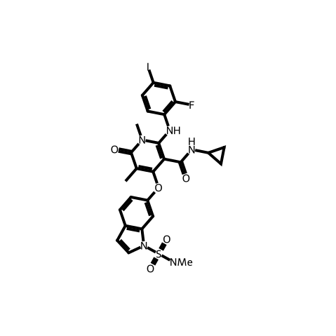 CNS(=O)(=O)n1ccc2ccc(Oc3c(C(=O)NC4CC4)c(Nc4ccc(I)cc4F)n(C)c(=O)c3C)cc21